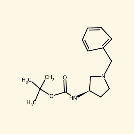 CC(C)(C)OC(=O)N[C@@H]1CCN(Cc2ccccc2)C1